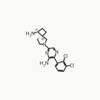 Nc1nc(N2CC[C@]3(CC[C@@H]3N)C2)cnc1-c1cccc(Cl)c1Cl